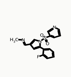 CN=Cc1cc(-c2ccccc2F)n(S(=O)(=O)c2cccnc2)c1